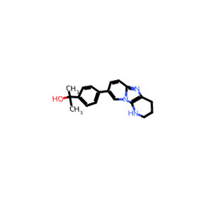 CC(C)(O)c1ccc(-c2ccc3nc4c(n3c2)NCCC4)cc1